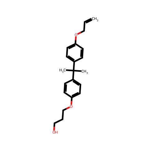 C=CCOc1ccc(C(C)(C)c2ccc(OCCCO)cc2)cc1